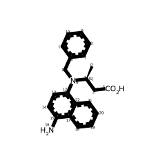 C[C@@H](CC(=O)O)N(Cc1ccccc1)c1ccc(N)c2ccccc12